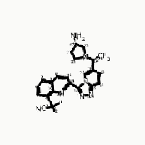 CC(C)(C#N)c1cccc2ccc(-c3nnc4ccc([C@@H](N5CC[C@H](N)C5)C(F)(F)F)cn34)nc12